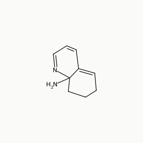 NC12CCCC=C1C=CC=N2